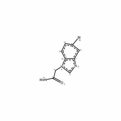 CNC(=O)Cn1cnc2cc(Br)ccc21